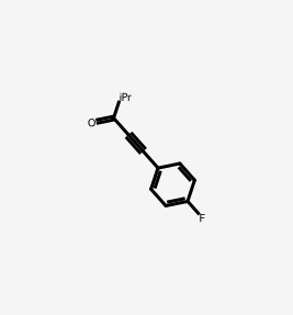 CC(C)C(=O)C#Cc1ccc(F)cc1